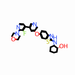 O[C@@H]1CCCC[C@H]1Nc1nc2ccc(Oc3cncc(-c4ccnc(N5CCOCC5)c4F)c3)cc2s1